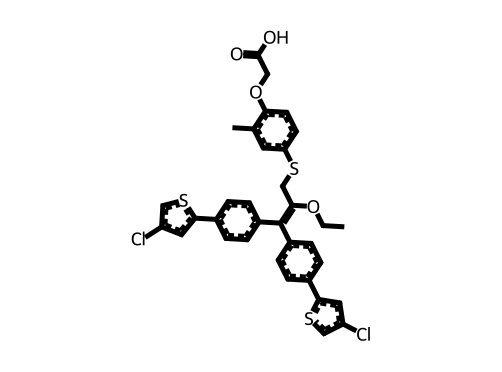 CCOC(CSc1ccc(OCC(=O)O)c(C)c1)=C(c1ccc(-c2cc(Cl)cs2)cc1)c1ccc(-c2cc(Cl)cs2)cc1